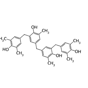 Cc1cc(Cc2cc(Cc3cc(C)c(O)c(Cc4cc(C)c(O)c(C)c4)c3)cc(C)c2O)cc(C)c1O